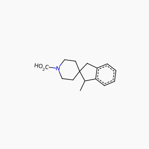 CC1c2ccccc2CC12CCN(C(=O)O)CC2